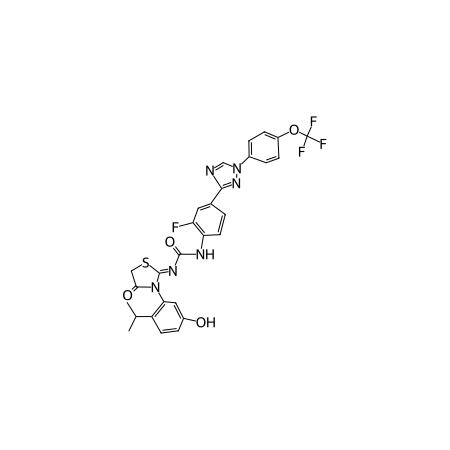 CC(C)c1ccc(O)cc1N1C(=O)CSC1=NC(=O)Nc1ccc(-c2ncn(-c3ccc(OC(F)(F)F)cc3)n2)cc1F